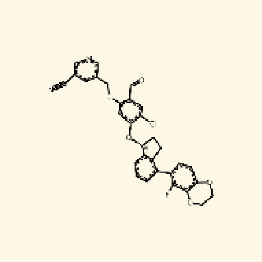 N#Cc1cncc(COc2cc(O[C@H]3CCc4c(-c5ccc6c(c5F)OCCO6)cccc43)c(Cl)cc2C=O)c1